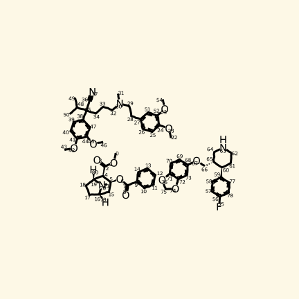 COC(=O)[C@H]1[C@@H](OC(=O)c2ccccc2)C[C@@H]2CC[C@H]1N2C.COc1ccc(CCN(C)CCCC(C#N)(c2ccc(OC)c(OC)c2)C(C)C)cc1OC.Fc1ccc([C@@H]2CCNC[C@H]2COc2ccc3c(c2)OCO3)cc1